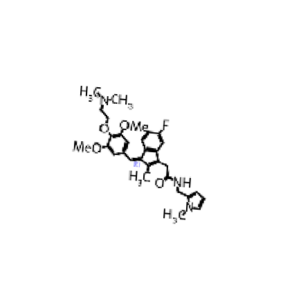 COc1cc(/C=C2/C(C)=C(CC(=O)NCc3cccn3C)c3cc(F)ccc32)cc(OC)c1OCCN(C)C